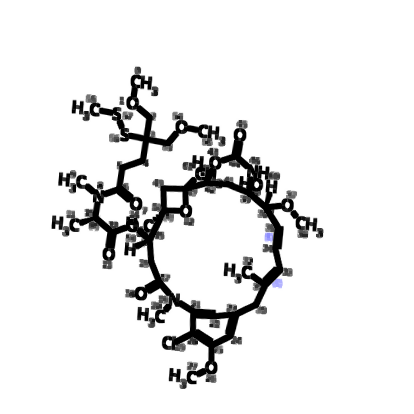 COCC(CCC(=O)N(C)[C@H](C)C(=O)O[C@H]1CC(=O)N(C)c2cc(cc(OC)c2Cl)C/C(C)=C/C=C/[C@@H](OC)[C@@]2(O)C[C@H](OC(=O)N2)C2(C)C[C@@]1(C)O2)(COC)SSC